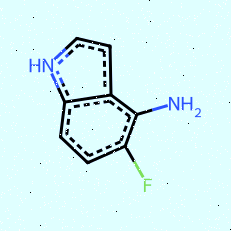 Nc1c(F)ccc2[nH]ccc12